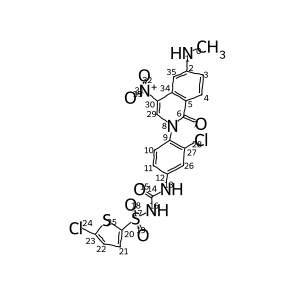 CNc1ccc2c(=O)n(-c3ccc(NC(=O)NS(=O)(=O)c4ccc(Cl)s4)cc3Cl)cc([N+](=O)[O-])c2c1